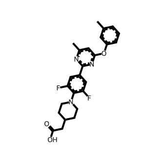 Cc1cccc(Oc2cc(C)nc(-c3cc(F)c(N4CCC(CC(=O)O)CC4)c(F)c3)n2)c1